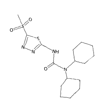 CS(=O)(=O)c1nnc(NC(=O)N(C2CCCCC2)C2CCCCC2)s1